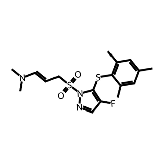 Cc1cc(C)c(Sc2c(F)cnn2S(=O)(=O)CC=CN(C)C)c(C)c1